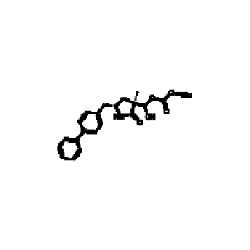 CC(C)(C)OC(=O)OC(O)[C@]1(C)C[C@@H](Cc2ccc(-c3ccccc3)cc2)NC1=O